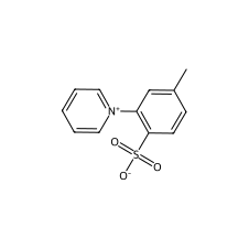 Cc1ccc(S(=O)(=O)[O-])c(-[n+]2ccccc2)c1